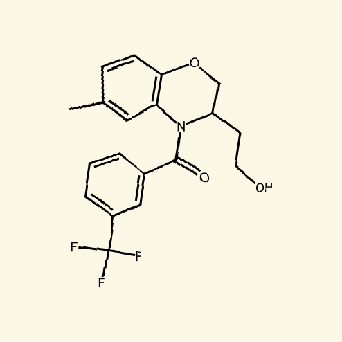 Cc1ccc2c(c1)N(C(=O)c1cccc(C(F)(F)F)c1)C(CCO)CO2